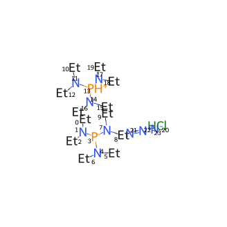 CCN(CC)P(N(CC)CC)N(CC)CC.CCN(CC)[PH+](N(CC)CC)N(CC)CC.Cl.[N-]=[N+]=[N-]